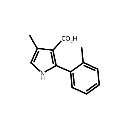 Cc1ccccc1-c1[nH]cc(C)c1C(=O)O